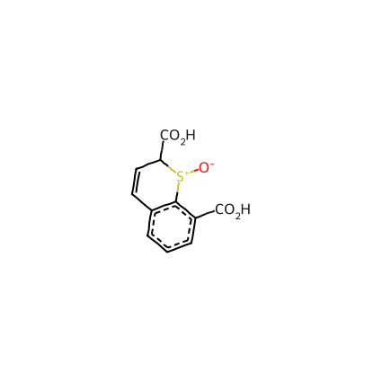 O=C(O)c1cccc2c1[S+]([O-])C(C(=O)O)C=C2